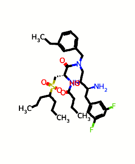 CCCC(=O)N[C@H](CS(=O)(=O)C(CCC)CCC)C(=O)N(Cc1cccc(CC)c1)C[C@@H](O)[C@@H](N)Cc1cc(F)cc(F)c1